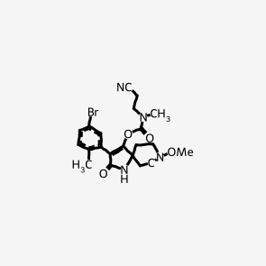 CON1CCC2(CC1)NC(=O)C(c1cc(Br)ccc1C)=C2OC(=O)N(C)CCC#N